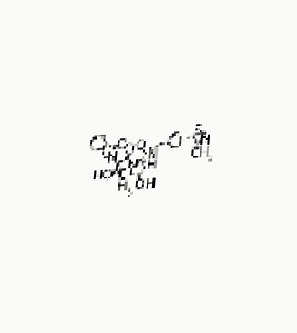 Cc1ncsc1-c1ccc(CNC(=O)[C@@H]2C[C@@H](O)CN2C(=O)[C@H]([C@H](C)O)N2Cc3ccccc3C2=O)cc1